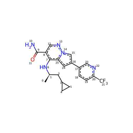 C[C@H](CC1CC1)Nc1c(C(N)=O)cnn2cc(-c3ccc(C(F)(F)F)nc3)cc12